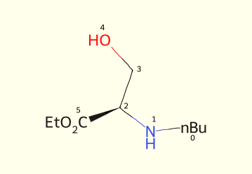 CCCCN[C@H](CO)C(=O)OCC